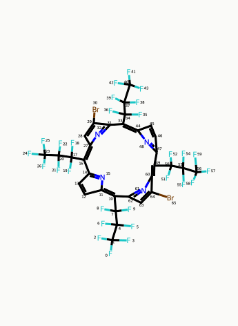 FC(F)(F)C(F)(F)C(F)(F)C1=C2C=CC(=N2)C(C(F)(F)C(F)(F)C(F)(F)F)=C2C=C(Br)C(=N2)C(C(F)(F)C(F)(F)C(F)(F)F)=C2C=CC(=N2)C(C(F)(F)C(F)(F)C(F)(F)F)=C2N=C1C=C2Br